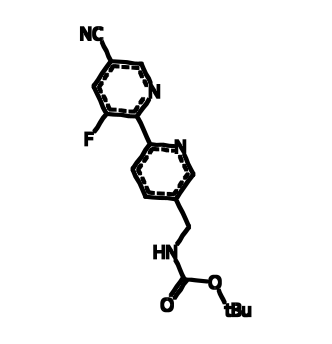 CC(C)(C)OC(=O)NCc1ccc(-c2ncc(C#N)cc2F)nc1